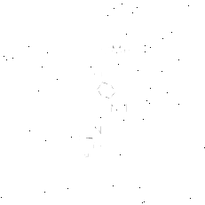 COCCOc1ccc(NC2CCN(C(=O)OC(C)(C)C)CC2)cc1